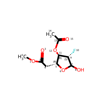 COC(=O)C[C@H]1OC(O)[C@@H](F)[C@@H]1OC(C)=O